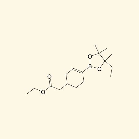 CCOC(=O)CC1CC=C(B2OC(C)(C)C(C)(CC)O2)CC1